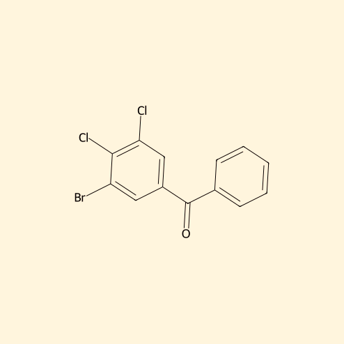 O=C(c1ccccc1)c1cc(Cl)c(Cl)c(Br)c1